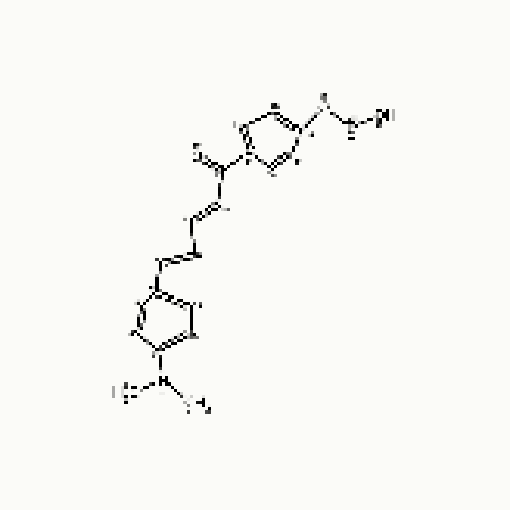 CN(C)c1ccc(/C=C/C=C/C(=O)c2ccc(OBO)cc2)cc1